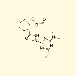 CCc1nc(NNC(=O)C2(CN(O)C=O)CCC(C)CC2)nc(N(C)C)n1